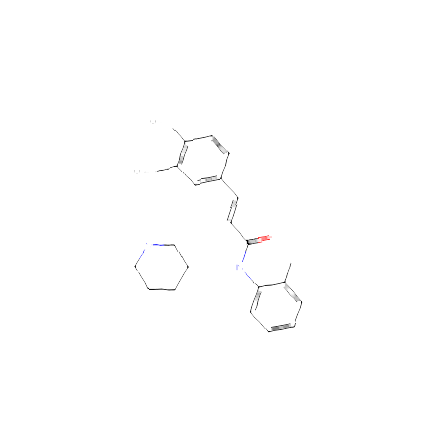 C1CCNCC1.COc1ccc(C=CC(=O)Nc2ccccc2C(=O)O)cc1OC